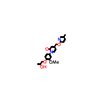 C=C(O)COc1ccc(-n2ccc(COc3ccc(C)cn3)cc2=O)cc1OC